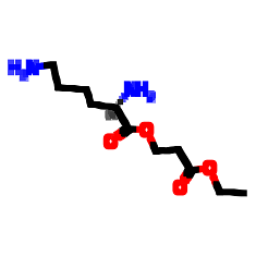 CCOC(=O)CCOC(=O)[C@@H](N)CCCCN